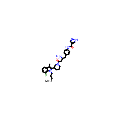 COCCCn1c(C2CCCN(C(=O)CC(N)Cc3ccc(NC(=O)c4cn[nH]c4)cc3)C2)c(C)c2cccc(F)c21